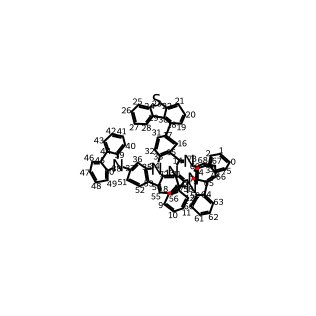 c1ccc(-c2nc(-c3ccccc3)nc(-c3cc(-c4cccc5sc6ccccc6c45)ccc3-n3c4cc(-n5c6ccccc6c6ccccc65)ccc4c4ccc(-n5c6ccccc6c6ccccc65)cc43)n2)cc1